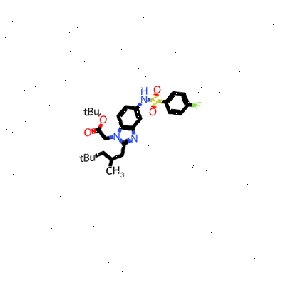 CC(Cc1nc2cc(NS(=O)(=O)c3ccc(F)cc3)ccc2n1CC(=O)OC(C)(C)C)CC(C)(C)C